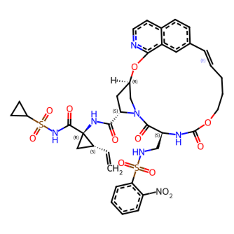 C=C[C@@H]1C[C@]1(NC(=O)[C@@H]1C[C@@H]2CN1C(=O)[C@H](CNS(=O)(=O)c1ccccc1[N+](=O)[O-])NC(=O)OCCC/C=C/c1ccc3ccnc(c3c1)O2)C(=O)NS(=O)(=O)C1CC1